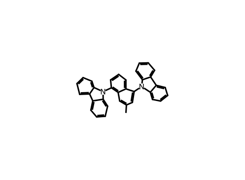 Cc1cc(-n2c3ccccc3c3ccccc32)c2cccc(-n3c4ccccc4c4ccccc43)c2c1